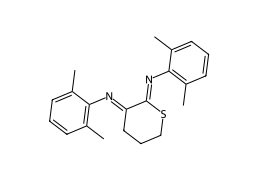 Cc1cccc(C)c1N=C1CCCSC1=Nc1c(C)cccc1C